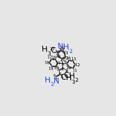 C=C/C(=C\C(C)=C\N)C(c1ccccc1)(c1ccccc1)c1ccc(N)c(C)c1